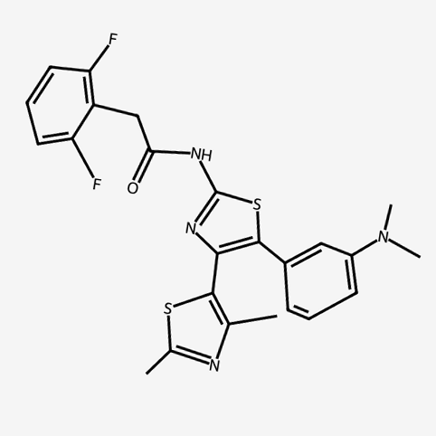 Cc1nc(C)c(-c2nc(NC(=O)Cc3c(F)cccc3F)sc2-c2cccc(N(C)C)c2)s1